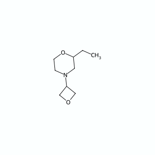 CCC1CN(C2COC2)CCO1